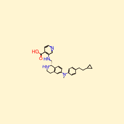 CN(c1ccc(CCC2CC2)cc1)c1ccc2c(c1)CCN[C@@H]2CNc1cnccc1C(=O)O